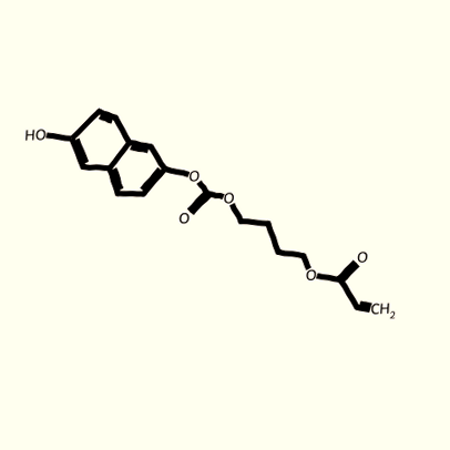 C=CC(=O)OCCCCOC(=O)Oc1ccc2cc(O)ccc2c1